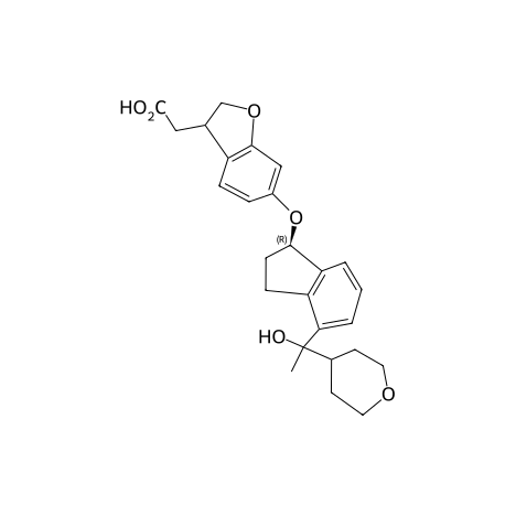 CC(O)(c1cccc2c1CC[C@H]2Oc1ccc2c(c1)OCC2CC(=O)O)C1CCOCC1